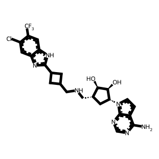 Nc1ncnc2c1ccn2[C@@H]1C[C@H](CNCC2CC(c3nc4cc(Cl)c(C(F)(F)F)cc4[nH]3)C2)[C@@H](O)[C@H]1O